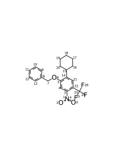 O=[N+]([O-])c1cc(OCc2ccccc2)c(C2CCCCC2)cc1C(F)(F)F